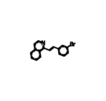 Brc1cccc(C=Cc2nccc3ccccc23)c1